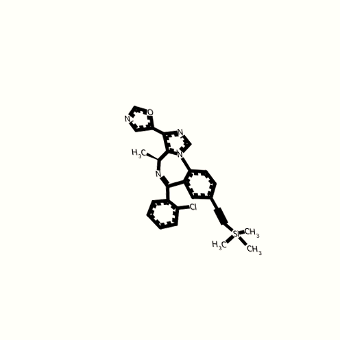 C[C@@H]1N=C(c2ccccc2Cl)c2cc(C#C[Si](C)(C)C)ccc2-n2cnc(-c3cnco3)c21